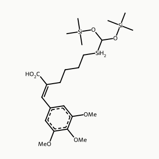 COc1cc(C=C(CCCC[SiH2]C(O[Si](C)(C)C)O[Si](C)(C)C)C(=O)O)cc(OC)c1OC